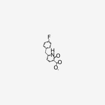 COC(=O)c1ccc(Cc2ccc(F)cc2)[nH]c1=O